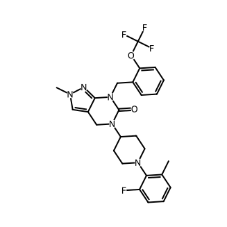 Cc1cccc(F)c1N1CCC(N2Cc3cn(C)nc3N(Cc3ccccc3OC(F)(F)F)C2=O)CC1